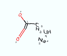 CC(=O)[O-].[LiH].[Na+]